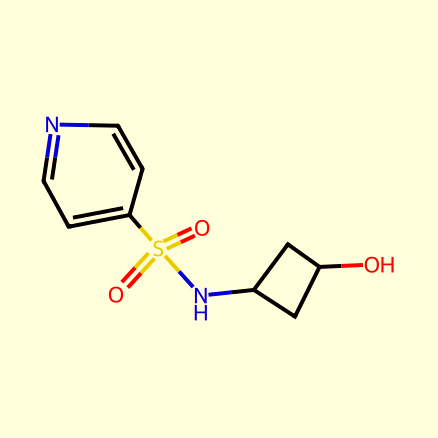 O=S(=O)(NC1CC(O)C1)c1ccncc1